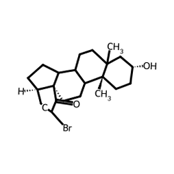 CC12CCC3C4CC[C@@H]5CCC(Br)C(=O)[C@]45CCC3[C@@]1(C)CC[C@@H](O)C2